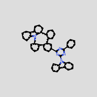 c1ccc(-c2nc(-c3ccc4c(c3)c3ccccc3c3cccc5c6ccccc6n(c6ccccc46)c35)nc(-n3c4ccccc4c4ccccc43)n2)cc1